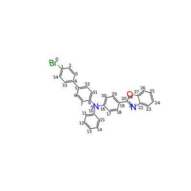 Brc1ccc(-c2ccc(N(c3ccccc3)c3ccc(-c4nc5ccccc5o4)cc3)cc2)cc1